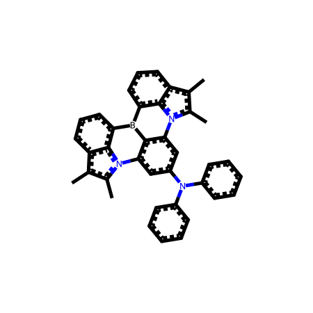 Cc1c(C)n2c3c(cccc13)B1c3c-2cc(N(c2ccccc2)c2ccccc2)cc3-n2c(C)c(C)c3cccc1c32